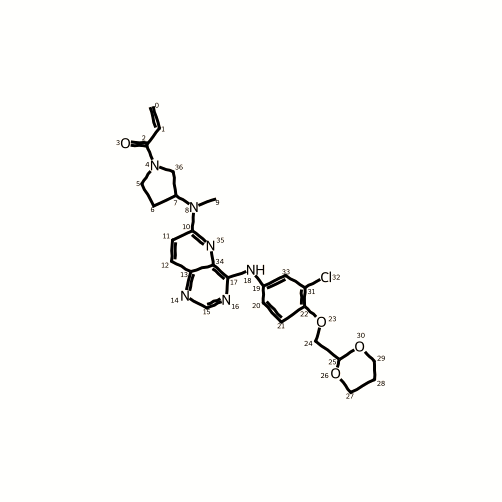 C=CC(=O)N1CCC(N(C)c2ccc3ncnc(Nc4ccc(OCC5OCCCO5)c(Cl)c4)c3n2)C1